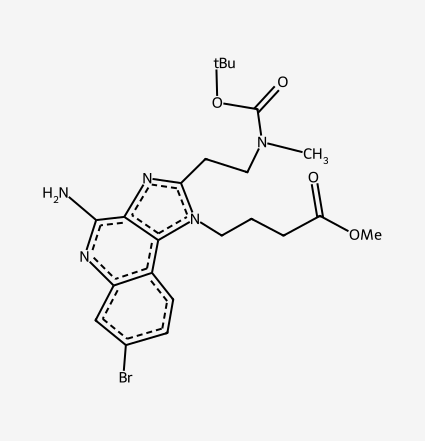 COC(=O)CCCn1c(CCN(C)C(=O)OC(C)(C)C)nc2c(N)nc3cc(Br)ccc3c21